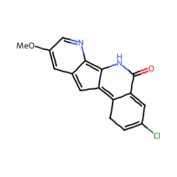 COc1cnc2c(c1)=Cc1c3c(c(=O)[nH]c1=2)=CC(Cl)=CC3